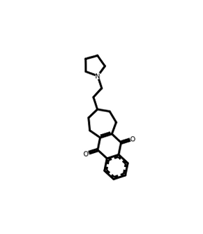 O=C1C2=C(CCC(CCN3CCCC3)CC2)C(=O)c2ccccc21